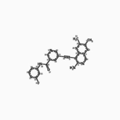 Cc1nc2cnc(N)c(C#Cc3cncc(C(=O)Nc4cccc(F)c4)c3)c2nc1C